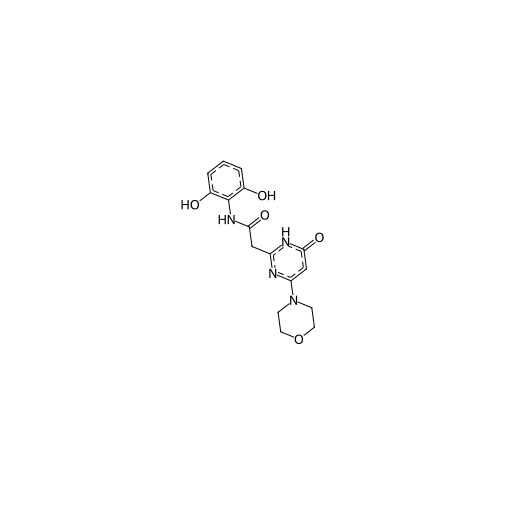 O=C(Cc1nc(N2CCOCC2)cc(=O)[nH]1)Nc1c(O)cccc1O